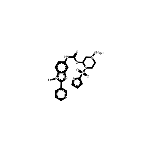 CCCCCCCN1CCN(S(=O)(=O)c2cccs2)C(OC(=O)Nc2ccc3c(c2)nc(-c2cccnc2)n3CC)C1